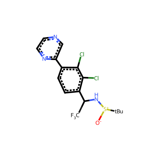 CC(C)(C)[S+]([O-])NC(c1ccc(-c2cnccn2)c(Cl)c1Cl)C(F)(F)F